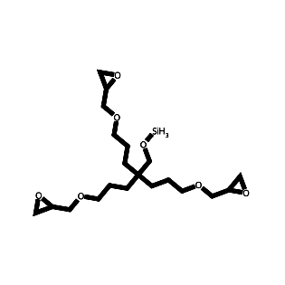 [SiH3]OCC(CCCOCC1CO1)(CCCOCC1CO1)CCCOCC1CO1